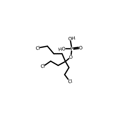 O=P(O)(O)OC(CCCl)(CCCl)CCCCl